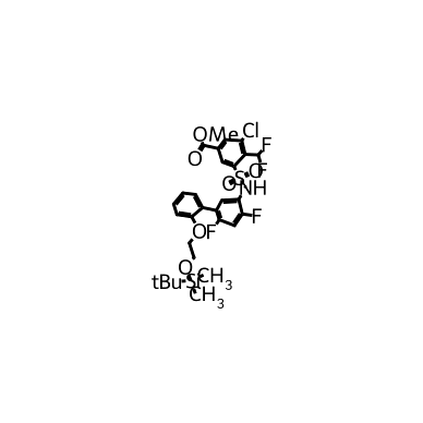 COC(=O)c1cc(Cl)c(C(F)F)c(S(=O)(=O)Nc2cc(-c3ccccc3OCCO[Si](C)(C)C(C)(C)C)c(F)cc2F)c1